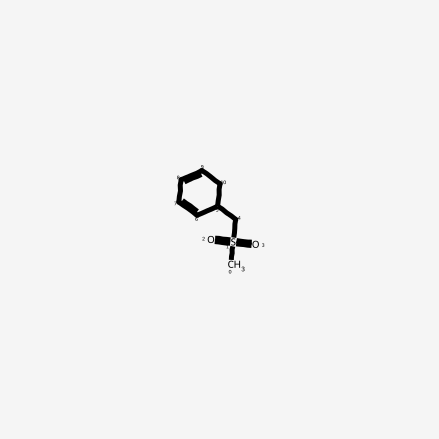 CS(=O)(=O)CC1C=CC=CC1